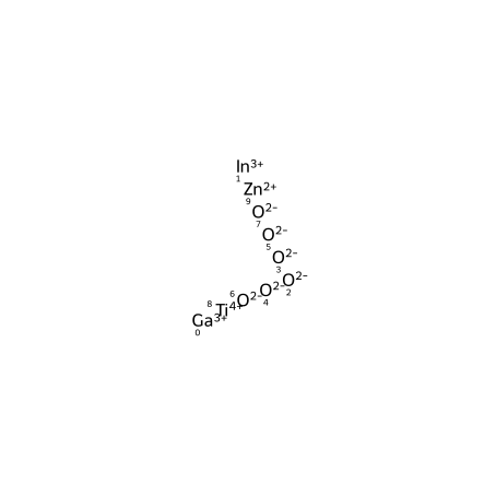 [Ga+3].[In+3].[O-2].[O-2].[O-2].[O-2].[O-2].[O-2].[Ti+4].[Zn+2]